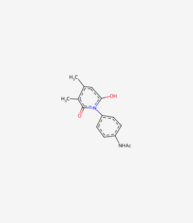 CC(=O)Nc1ccc(-n2c(O)cc(C)c(C)c2=O)cc1